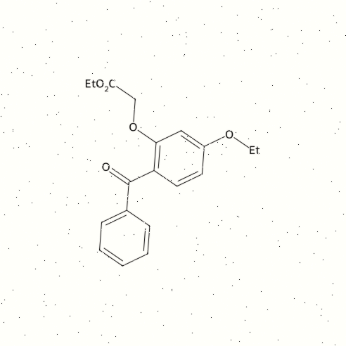 CCOC(=O)COc1cc(OCC)ccc1C(=O)c1ccccc1